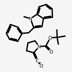 CC(C)(C)OC(=O)N1CCCC1=C=O.Cn1c(Cc2ccccc2)cc2ccccc21